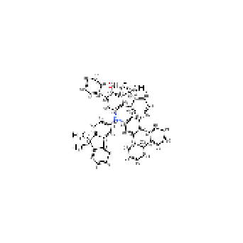 CC1(C)c2ccccc2-c2cc(N(c3ccc4c5ccccc5c5ccccc5c4c3)c3cc4c(oc5ccccc54)c4c3-c3ccccc3C4(C)C)ccc21